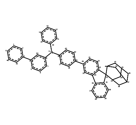 c1ccc(-c2cccc(N(c3ccccc3)c3ccc(-c4ccc5c(c4)-c4ccccc4C54C5CC6CC(C5)CC4C6)cc3)c2)cc1